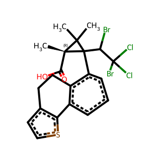 CC1(C)C(c2cccc3c2CCc2ccsc2-3)(C(Br)C(Cl)(Cl)Br)[C@]1(C)C(=O)O